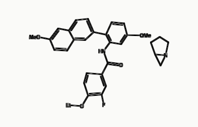 C1CC2CN2C1.CCOc1ccc(C(=O)Nc2cc(OC)ccc2-c2ccc3cc(OC)ccc3c2)cc1F